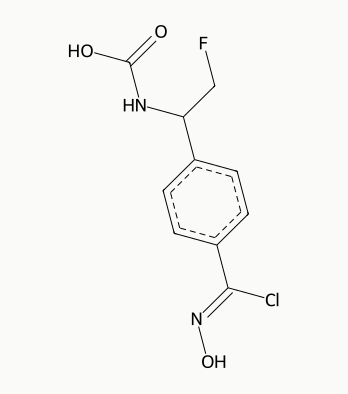 O=C(O)NC(CF)c1ccc(C(Cl)=NO)cc1